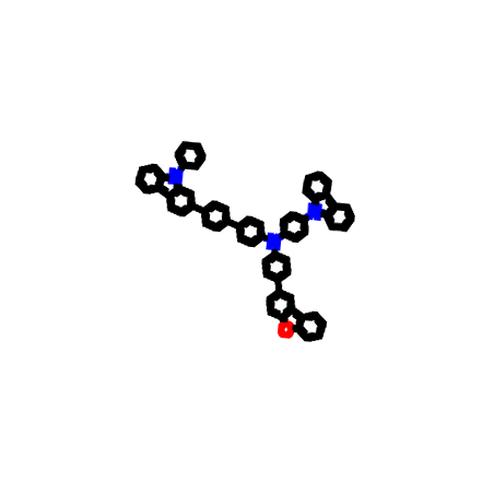 c1ccc(-n2c3ccccc3c3ccc(-c4ccc(-c5ccc(N(c6ccc(-c7ccc8oc9ccccc9c8c7)cc6)c6ccc(-n7c8ccccc8c8ccccc87)cc6)cc5)cc4)cc32)cc1